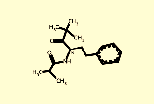 CC(C)C(=O)N[C@H](CCc1ccccc1)C(=O)C(C)(C)C